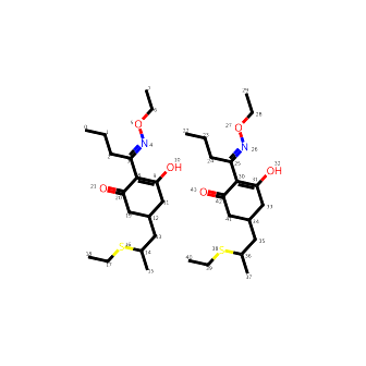 CCC/C(=N\OCC)C1=C(O)CC(CC(C)SCC)CC1=O.CCC/C(=N\OCC)C1=C(O)CC(CC(C)SCC)CC1=O